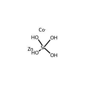 O[Si](O)(O)O.[Co].[Zn]